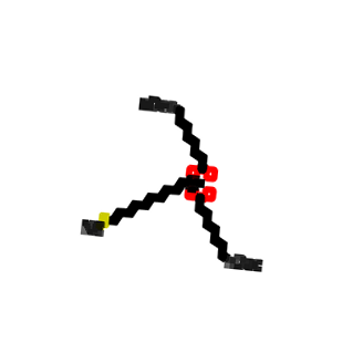 CCCCCCCCCCCCCCCCCC(=O)O[Si](C)(CCCCCCCCCCSC#N)OC(=O)CCCCCCCCCCCCCCCCC